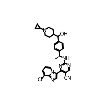 C[C@H](Nc1ncc(C#N)c(-c2cnc3c(Cl)cccn23)n1)c1ccc(C(O)C2CCN(C3CC3)CC2)cc1